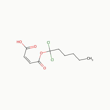 CCCCCC(Cl)(Cl)OC(=O)/C=C\C(=O)O